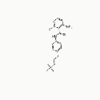 CC(C)(C)CCCc1ccc(NC(=O)c2c(N)cccc2F)cc1